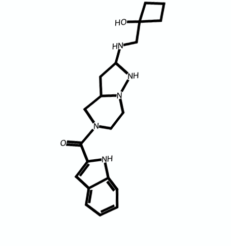 O=C(c1cc2ccccc2[nH]1)N1CCN2NC(NCC3(O)CCC3)CC2C1